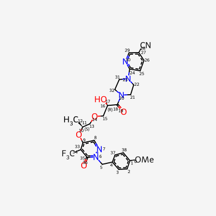 COc1ccc(Cn2ncc(O[C@@H](C)COC[C@@H](O)C(=O)N3CCN(c4ccc(C#N)cn4)CC3)c(C(F)(F)F)c2=O)cc1